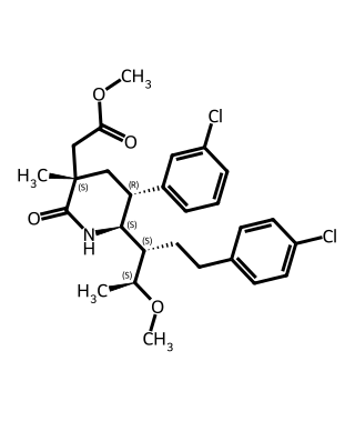 COC(=O)C[C@]1(C)C[C@H](c2cccc(Cl)c2)[C@@H]([C@H](CCc2ccc(Cl)cc2)[C@H](C)OC)NC1=O